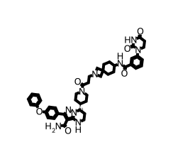 NC(=O)c1c(-c2ccc(Oc3ccccc3)cc2)nn2c1NCC[C@H]2C1CCN(C(=O)CCN2CC3(CCC(NC(=O)c4cccc(N5CCC(=O)NC5=O)c4)CC3)C2)CC1